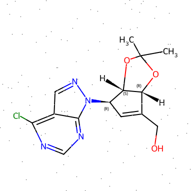 CC1(C)O[C@@H]2[C@H](O1)C(CO)=C[C@H]2n1ncc2c(Cl)ncnc21